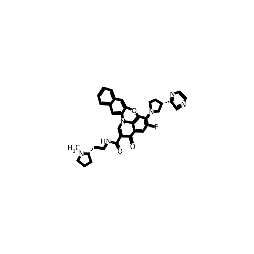 CN1CCC[C@H]1CCNC(=O)c1cn2c3c(c(N4CC[C@H](c5cnccn5)C4)c(F)cc3c1=O)Oc1cc3ccccc3cc1-2